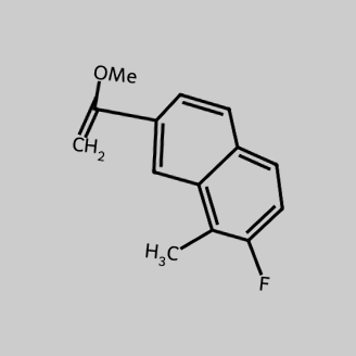 C=C(OC)c1ccc2ccc(F)c(C)c2c1